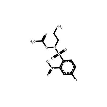 CC(=O)ON(CCN)S(=O)(=O)c1ccc(F)cc1[N+](=O)[O-]